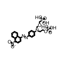 O=[N+]([O-])c1ccc(N=Nc2ccc(N(CCOP(=O)(O)O)COCP(=O)(O)O)cc2)c2ccccc12